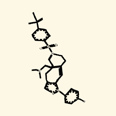 CN(C)CC12Cc3cnn(-c4ccc(F)cc4)c3C=C1CCN(S(=O)(=O)c1ccc(C(C)(C)C)cc1)C2